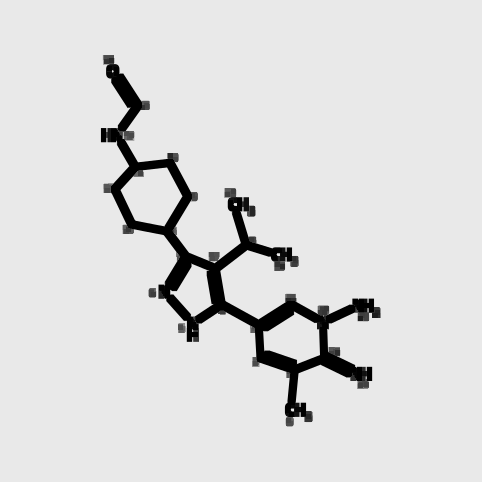 Cc1cc(-c2[nH]nc(C3CCC(NC=O)CC3)c2C(C)C)cn(N)c1=N